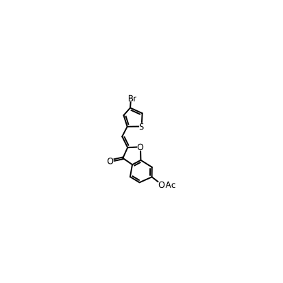 CC(=O)Oc1ccc2c(c1)OC(=Cc1cc(Br)cs1)C2=O